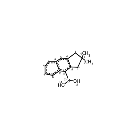 CC1(C)Cc2cc3ccccc3c(B(O)O)c2C1